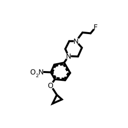 O=[N+]([O-])c1cc(N2CCN(CCF)CC2)ccc1OC1CC1